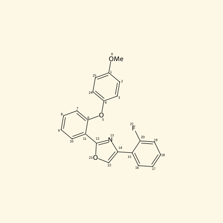 COc1ccc(Oc2ccccc2-c2nc(-c3ccccc3F)co2)cc1